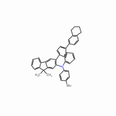 CC(C)(C)c1ccc(N(c2ccccc2)c2cc3c(cc2-c2ccc(-c4ccc5c(c4)CCCC5)cc2)-c2ccccc2C3(C)C)cc1